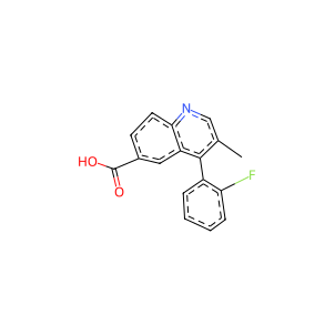 Cc1cnc2ccc(C(=O)O)cc2c1-c1ccccc1F